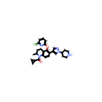 CC1CCc2c(ccc(-c3cnn(C4CCNCC4)c3)c2Oc2cccc(Cl)n2)N1C(=O)C1CC1